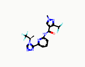 C[C@@H](n1cnnc1-c1cccc(NC(=O)c2cn(C)nc2C(F)F)n1)C(F)(F)F